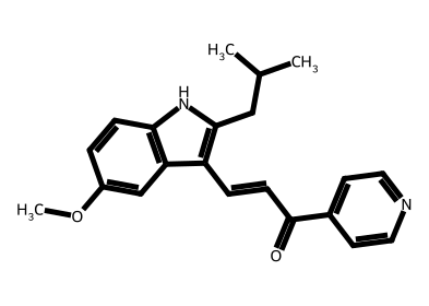 COc1ccc2[nH]c(CC(C)C)c(/C=C/C(=O)c3ccncc3)c2c1